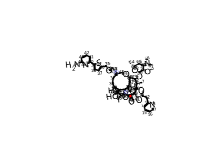 CO[C@H]1[C@H](O[C@@H]2[C@@H](C)[C@H](OC(=O)Cc3ccccn3)[C@@H](C)C(=O)O[C@H](I)[C@@](C)(O)[C@@H]3CC/C(=N\OCc4ccc(-c5cccc(N)n5)s4)CO[C@]2(C)C[C@@H](C)/C(=N\C(C)=O)[C@@H]3C)O[C@H](C)C[C@@H]1N(C)C